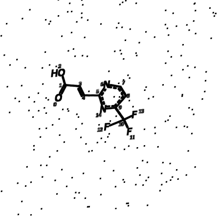 O=C(O)/C=C/c1nccc(C(F)(F)F)n1